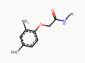 CC(C)NC(=O)COc1ccc(C=O)cc1[N+](=O)[O-]